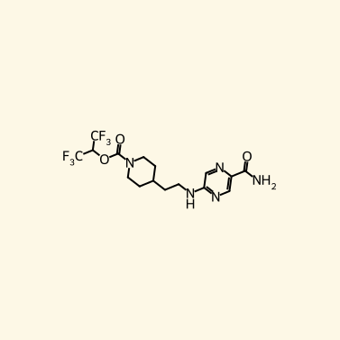 NC(=O)c1cnc(NCCC2CCN(C(=O)OC(C(F)(F)F)C(F)(F)F)CC2)cn1